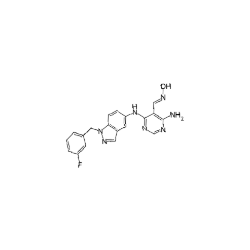 Nc1ncnc(Nc2ccc3c(cnn3Cc3cccc(F)c3)c2)c1/C=N/O